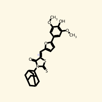 COc1cc(-c2ccc(/C=C3\SC(=S)N(C4C5CC6CC(C5)CC4C6)C3=O)o2)cc(OC)c1O